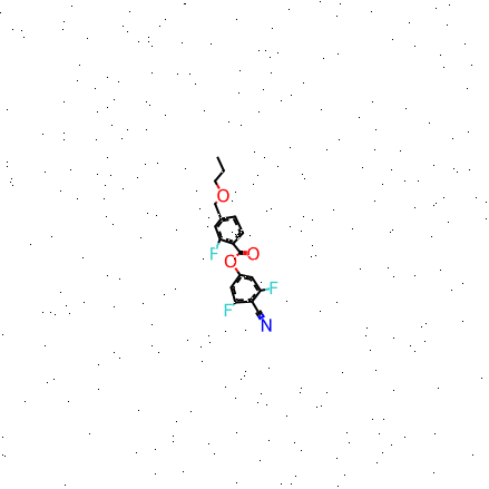 CCCOCc1ccc(C(=O)Oc2cc(F)c(C#N)c(F)c2)c(F)c1